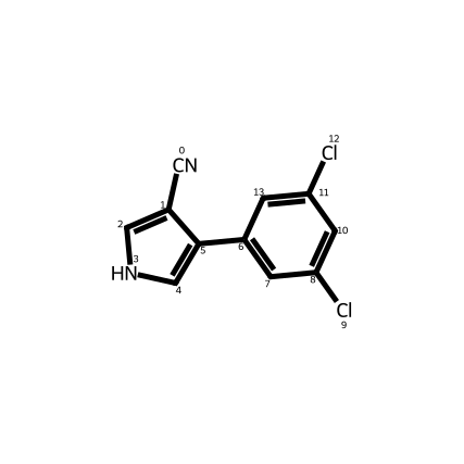 N#Cc1c[nH]cc1-c1cc(Cl)cc(Cl)c1